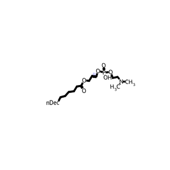 CCCCCCCCCCCCCCCC(=O)OC/C=C/OP(=O)(O)OCCN(C)C